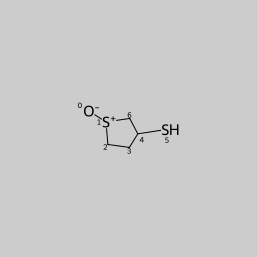 [O-][S+]1CCC(S)C1